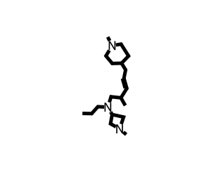 CCCN(CC(C)/C=C/CC1CCN(C)CC1)C1CN(C)C1